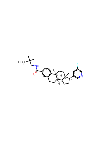 CC(C)(CNC(=O)c1ccc2c(c1)CC[C@@H]1[C@@H]2CC[C@]2(C)[C@@H](c3cncc(F)c3)CC[C@@H]12)C(=O)O